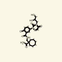 NC(=O)C1(CNC(=O)c2cc(-n3ncc(=O)n(CC(O)CO)c3=O)ccc2Cl)CCCCCC1